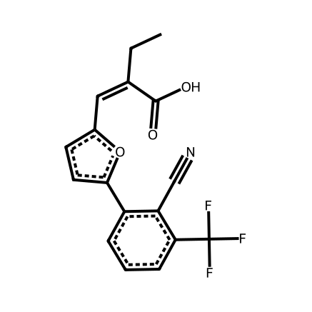 CCC(=Cc1ccc(-c2cccc(C(F)(F)F)c2C#N)o1)C(=O)O